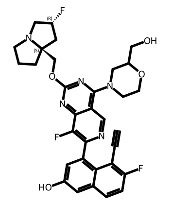 C#Cc1c(F)ccc2cc(O)cc(-c3ncc4c(N5CCOC(CO)C5)nc(OC[C@@]56CCCN5C[C@H](F)C6)nc4c3F)c12